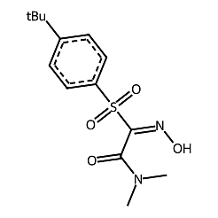 CN(C)C(=O)/C(=N\O)S(=O)(=O)c1ccc(C(C)(C)C)cc1